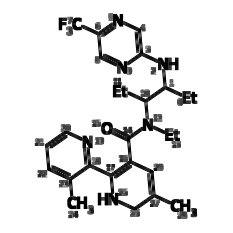 CCC(Nc1cnc(C(F)(F)F)cn1)C(CC)N(CC)C(=O)C1=C(c2ncccc2C)NCC(C)=C1